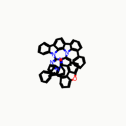 C=C/C=C\C/C=C\C(=C/C)n1c2c(-c3ccccc3)cccc2c2ccc3c4ccccc4n(-c4nc(-c5ccccc5)nc(-c5cccc6oc7cccc(-c8ccccc8)c7c56)n4)c3c21